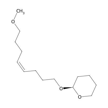 COCCC/C=C\CCCO[C@H]1CCCCO1